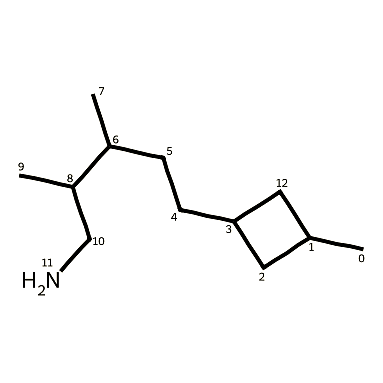 CC1CC(CCC(C)C(C)CN)C1